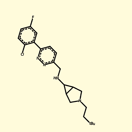 CC(C)(C)CCN1CC2C(C1)C2NCc1ccc(-c2cc(F)ccc2Cl)nn1